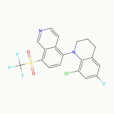 O=S(=O)(c1ccc(N2CCCc3cc(F)cc(Cl)c32)c2ccncc12)C(F)(F)F